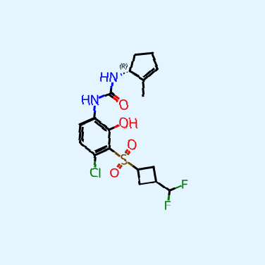 CC1=CCC[C@H]1NC(=O)Nc1ccc(Cl)c(S(=O)(=O)C2CC(C(F)F)C2)c1O